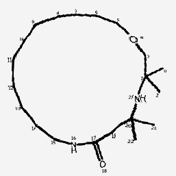 CC1(C)COCCCCCCCCCCCNC(=O)CC(C)(C)N1